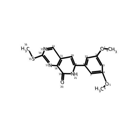 COc1cc(OC)cc(-c2cc3cnc(SC)nc3c(=O)[nH]2)c1